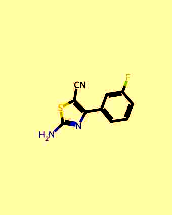 N#Cc1sc(N)nc1-c1cccc(F)c1